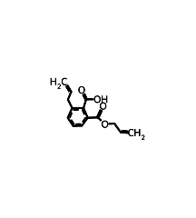 C=CCOC(=O)c1cccc(CC=C)c1C(=O)O